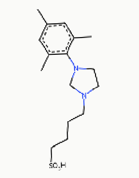 Cc1cc(C)c(N2CCN(CCCCS(=O)(=O)O)C2)c(C)c1